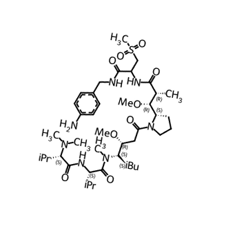 CC[C@H](C)[C@@H]([C@@H](CC(=O)N1CCC[C@H]1[C@H](OC)[C@@H](C)C(=O)NC(CS(C)(=O)=O)C(=O)NCc1ccc(N)cc1)OC)N(C)C(=O)[C@@H](NC(=O)[C@H](C(C)C)N(C)C)C(C)C